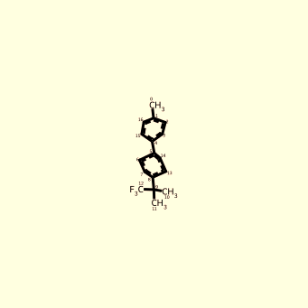 Cc1ccc(-c2ccc(C(C)(C)C(F)(F)F)cc2)cc1